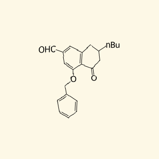 CCCCC1CC(=O)c2c(cc(C=O)cc2OCc2ccccc2)C1